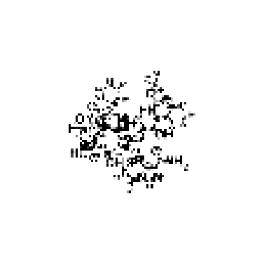 CC(=O)O[C@@]12CO[C@@H]1C[C@H](O)[C@@]1(C)C(=O)[C@H](O)C3=C(C)[C@@H](OC(=O)C(O)[C@@H](NC(=O)OC(C)(C)C)c4ccccc4)C[C@@](O)([C@@H](OC(=O)c4ccccc4)[C@H]21)C3(C)C.Cn1nnc2c(C(N)=O)ncn2c1=O